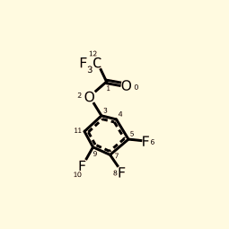 O=C(Oc1cc(F)c(F)c(F)c1)C(F)(F)F